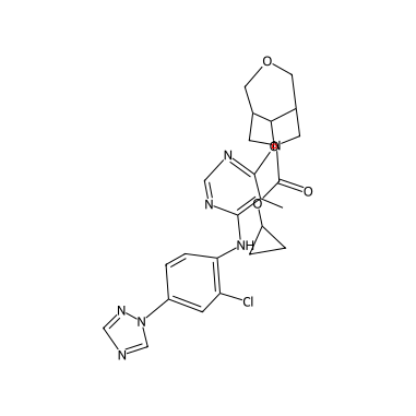 Cc1c(Nc2ccc(-n3cncn3)cc2Cl)ncnc1OC1C2COCC1CN(C(=O)OC1CC1)C2